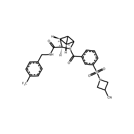 N#CC1CN(S(=O)(=O)c2cccc(C(=O)N3C4C5[C@H]4[C@@H]5[C@@H]3C(=O)NCc3ccc(C(F)(F)F)cc3)c2)C1